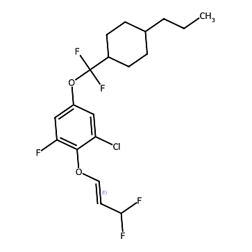 CCCC1CCC(C(F)(F)Oc2cc(F)c(O/C=C/C(F)F)c(Cl)c2)CC1